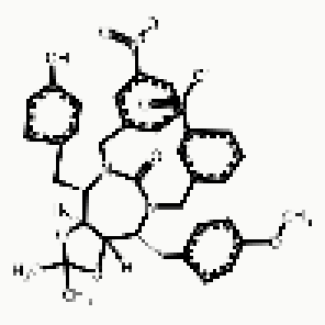 COc1ccc(C[C@@H]2[C@@H]3OC(C)(C)O[C@H]3[C@@H](Cc3ccc(O)cc3)N(Cc3cccc([N+](=O)[O-])c3)C(=O)N2Cc2cccc([N+](=O)[O-])c2)cc1